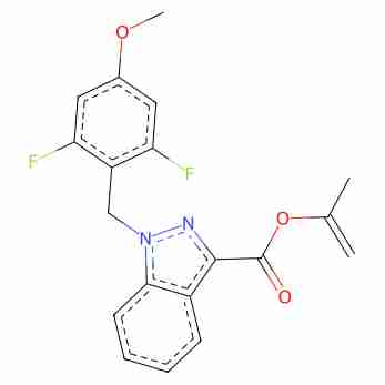 C=C(C)OC(=O)c1nn(Cc2c(F)cc(OC)cc2F)c2ccccc12